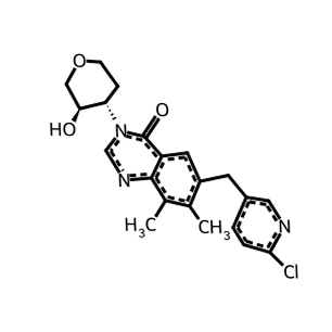 Cc1c(Cc2ccc(Cl)nc2)cc2c(=O)n([C@H]3CCOC[C@@H]3O)cnc2c1C